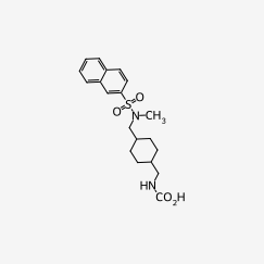 CN(CC1CCC(CNC(=O)O)CC1)S(=O)(=O)c1ccc2ccccc2c1